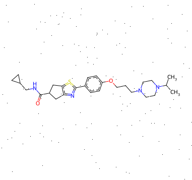 CC(C)N1CCN(CCCOc2ccc(-c3nc4c(s3)CC(C(=O)NCC3CC3)C4)cc2)CC1